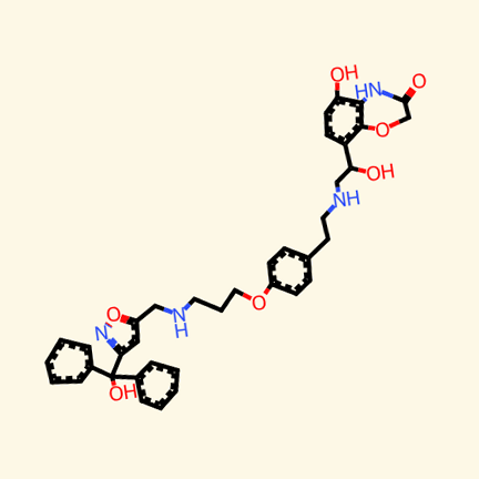 O=C1COc2c(C(O)CNCCc3ccc(OCCCNCc4cc(C(O)(c5ccccc5)c5ccccc5)no4)cc3)ccc(O)c2N1